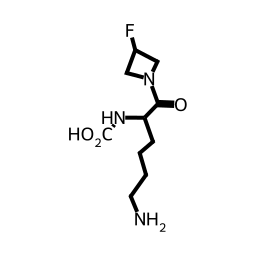 NCCCCC(NC(=O)O)C(=O)N1CC(F)C1